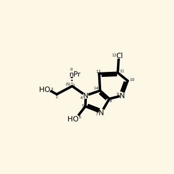 CCC[C@@H](CO)n1c(O)nc2ncc(Cl)cc21